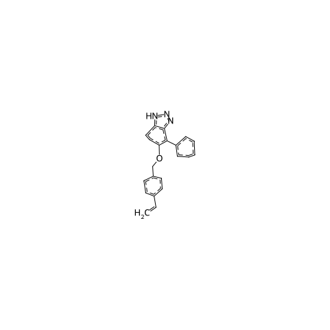 C=Cc1ccc(COc2ccc3[nH]nnc3c2-c2ccccc2)cc1